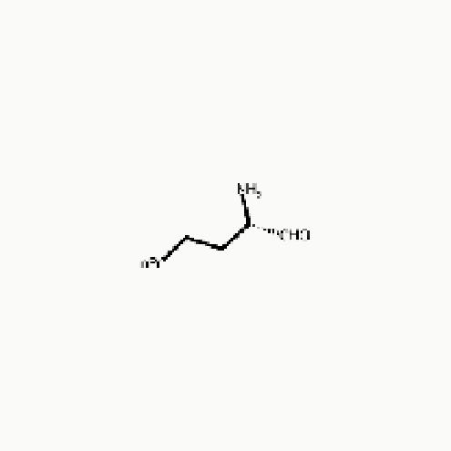 CCCCC[C@H](N)C=O